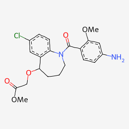 COC(=O)COC1CCCN(C(=O)c2ccc(N)cc2OC)c2ccc(Cl)cc21